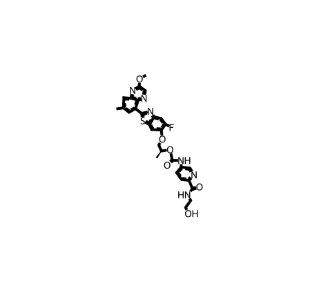 COc1cnc2c(-c3nc4cc(F)c(OC[C@H](C)OC(=O)Nc5ccc(C(=O)NCCO)nc5)cc4s3)cc(C)cc2n1